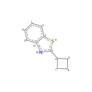 [c]1ccc2sc(C3CCC3)nc2c1